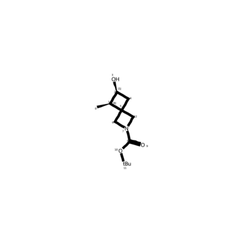 C[C@H]1[C@@H](O)CC12CN(C(=O)OC(C)(C)C)C2